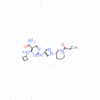 C=CC(=O)N1CCC[C@H](n2cc(Nc3ncc(C(N)=O)c(NC4CCC4)n3)cn2)C1